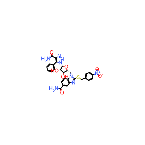 NC(=O)c1ccc2c(c1)nc(SCc1ccc([N+](=O)[O-])cc1)n2C[C@H]1O[C@@H](n2nnc(C(N)=O)c2-c2ccccc2)[C@H](O)[C@@H]1O